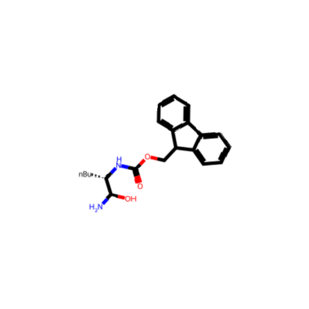 CCCC[C@H](NC(=O)OCC1c2ccccc2-c2ccccc21)C(N)O